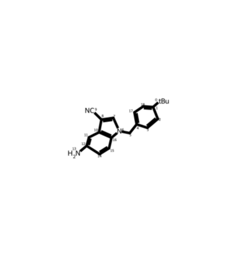 CC(C)(C)c1ccc(Cn2cc(C#N)c3cc(N)ccc32)cc1